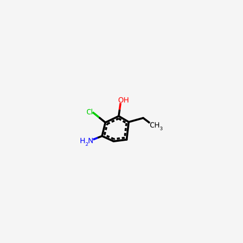 CCc1ccc(N)c(Cl)c1O